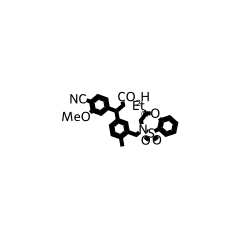 CC[C@@H]1CN(Cc2cc(C(CC(=O)O)c3ccc(C#N)c(OC)c3)ccc2C)S(=O)(=O)c2ccccc2O1